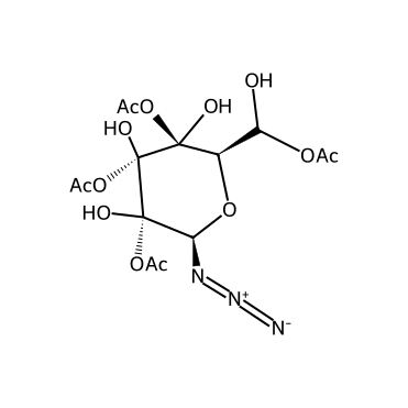 CC(=O)OC(O)[C@H]1O[C@@H](N=[N+]=[N-])[C@](O)(OC(C)=O)[C@](O)(OC(C)=O)[C@@]1(O)OC(C)=O